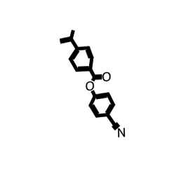 C=C(C)c1ccc(C(=O)Oc2ccc(C#N)cc2)cc1